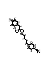 N#Cc1ccc(CCCCCOC(=O)Cc2ccc(F)cc2)cc1